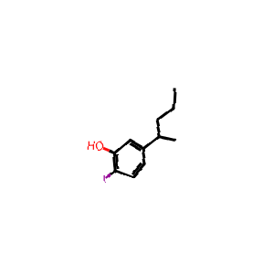 CCCC(C)c1ccc(I)c(O)c1